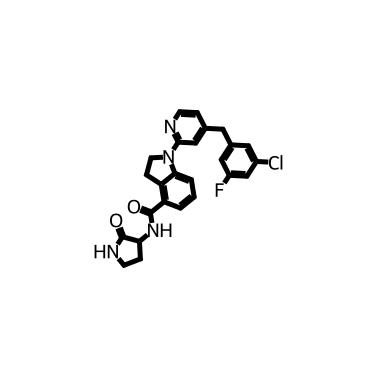 O=C(NC1CCNC1=O)c1cccc2c1CCN2c1cc(Cc2cc(F)cc(Cl)c2)ccn1